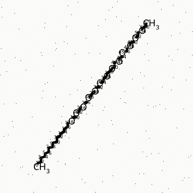 CCCCCCCCCCCCCCCCCCOCCOCCOCCOCCOCCOCCOCCOCCOCCOCCOCCOCCOCCC